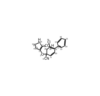 N#CC1(Oc2nn[nH]c2C(=O)O)C=CC(c2ccccc2)=C(Cl)C1